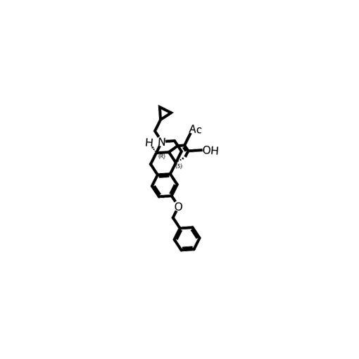 CC(=O)C1=C(O)C[C@]23CCN(CC4CC4)[C@H](Cc4ccc(OCc5ccccc5)cc42)C3C1